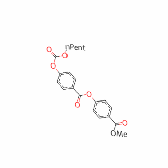 CCCCCOC(=O)Oc1ccc(C(=O)Oc2ccc(C(=O)OC)cc2)cc1